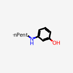 CCCC[CH]Nc1cccc(O)c1